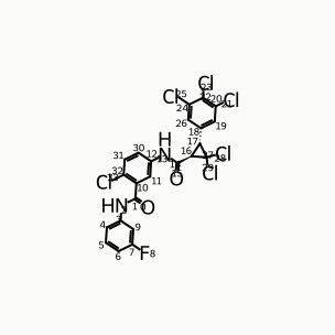 O=C(Nc1cccc(F)c1)c1cc(NC(=O)[C@H]2[C@H](c3cc(Cl)c(Cl)c(Cl)c3)C2(Cl)Cl)ccc1Cl